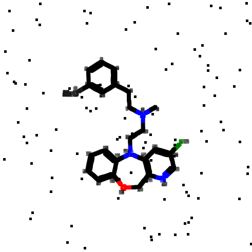 COc1cccc(CCN(C)CCN2c3ccccc3OCc3ncc(F)cc32)c1